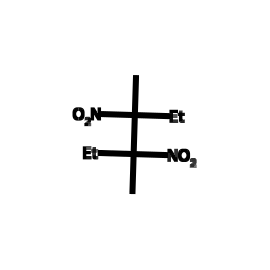 CCC(C)([N+](=O)[O-])C(C)(CC)[N+](=O)[O-]